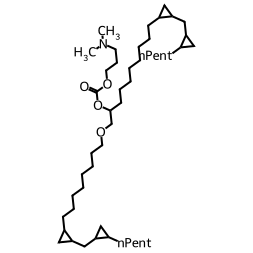 CCCCCC1CC1CC1CC1CCCCCCCCOCC(CCCCCCCCC1CC1CC1CC1CCCCC)OC(=O)OCCCN(C)C